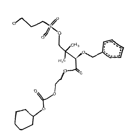 CC(C)(COS(=O)(=O)CCCCl)[C@@H](OCc1ccccc1)C(=O)OCCOC(=O)OC1CCCCC1